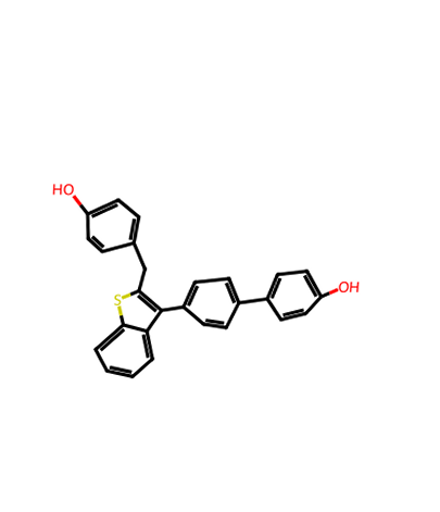 Oc1ccc(Cc2sc3ccccc3c2-c2ccc(-c3ccc(O)cc3)cc2)cc1